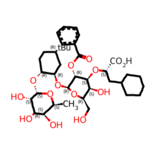 C[C@@H]1O[C@@H](O[C@@H]2CC[C@@H](C(C)(C)C)C[C@H]2O[C@@H]2O[C@H](CO)[C@H](O)[C@H](O[C@@H](CC3CCCCC3)C(=O)O)[C@H]2OC(=O)c2ccccc2)[C@@H](O)[C@H](O)[C@@H]1O